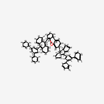 c1ccc(-c2cc(-c3ccccc3)cc(-c3c4ccccc4c(-c4ccc5c(c4)oc4c(-c6c7ccccc7c(-c7cc(-c8ccccc8)cc(-c8ccccc8)c7)c7ccccc67)cccc45)c4ccccc34)c2)cc1